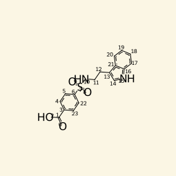 O=C(O)c1ccc(S(=O)(=O)NCCc2c[nH]c3ccccc23)cc1